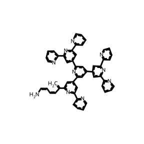 C=C(/C=C\C=C/N)c1cc(-c2cc(-c3cc(-c4ccccn4)nc(-c4ccccn4)c3)cc(-c3cc(-c4ccccn4)nc(-c4ccccn4)c3)n2)cc(-c2ccccn2)n1